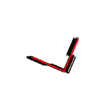 Cl.Cl.Cl.Cl.Cl.Cl.Cl.Cl.Cl.Cl.Cl.Cl.Cl.Cl.Cl.Cl.Cl.Cl.Cl.Cl.Cl.Cl.Cl.Cl.Cl.Cl.Cl.Cl.Cl.Cl.Cl.Cl.Cl.Cl.Cl.Cl.Cl.Cl.Cl.Cl.Cl.Cl.Cl.Cl.Cl.Cl.Cl.Cl.Cl.Cl.Cl.Cl.Cl.Cl.Cl.N.N.N.N.N.N.N.N.N.N.N.N.N.N.N.N.N.N.N.N.N.N.N.N.N.N.N.N.N.N.N.N.N.N.N.N.N.N.N.N.N.N.N.N.N.N.N.N.N.N